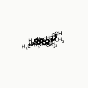 CNCCC[C@]12CCC[C@@H]1[C@H]1CCC3[C@@]4(C)CC[C@H](OC(=O)CC(C)(C)CC(=O)O)C(C)(C)C4CC[C@@]3(C)[C@]1(C)CC2